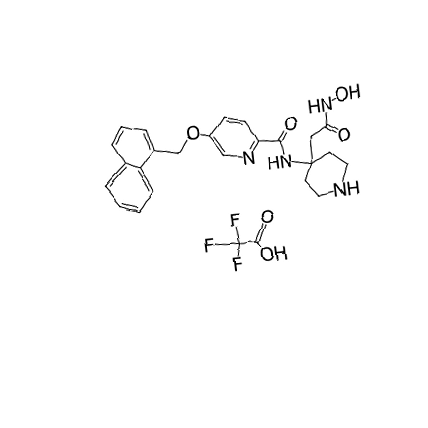 O=C(CC1(NC(=O)c2ccc(OCc3cccc4ccccc34)cn2)CCNCC1)NO.O=C(O)C(F)(F)F